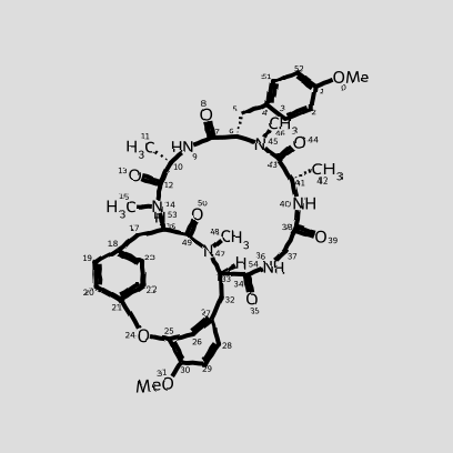 COc1ccc(C[C@H]2C(=O)N[C@@H](C)C(=O)N(C)[C@H]3Cc4ccc(cc4)Oc4cc(ccc4OC)C[C@@H](C(=O)NCC(=O)N[C@@H](C)C(=O)N2C)N(C)C3=O)cc1